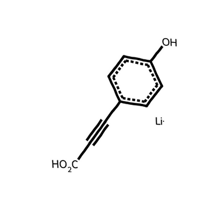 O=C(O)C#Cc1ccc(O)cc1.[Li]